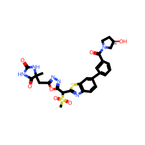 CC1(Cc2nnc(C(c3nc4ccc(-c5cccc(C(=O)N6CC[C@@H](O)C6)c5)cc4s3)S(C)(=O)=O)o2)NC(=O)NC1=O